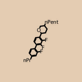 CCCCCC1CCC(c2ccc(-c3ccc(CCC)cc3F)c(F)c2F)OC1